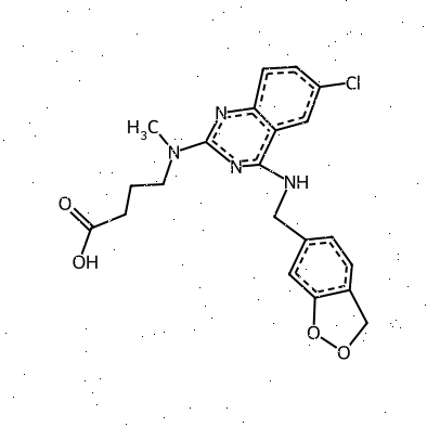 CN(CCCC(=O)O)c1nc(NCc2ccc3c(c2)OOC3)c2cc(Cl)ccc2n1